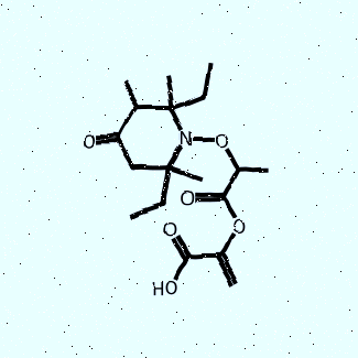 C=C(OC(=O)C(C)ON1C(C)(CC)CC(=O)C(C)C1(C)CC)C(=O)O